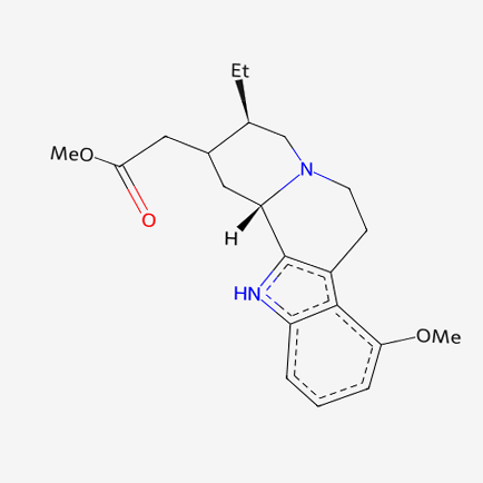 CC[C@H]1CN2CCc3c([nH]c4cccc(OC)c34)[C@@H]2CC1CC(=O)OC